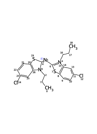 CCCn1/c(=N\c2sc3ccc(Cl)cc3[n+]2CCC)sc2ccc(Cl)cc21